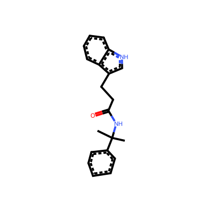 CC(C)(NC(=O)CCc1c[nH]c2ccccc12)c1ccccc1